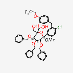 CO[C@@]1(c2ccc(Cl)c(Cc3ccc(OCC(F)(F)F)cc3)c2)OC(CO)(CO)[C@@H](OCc2ccccc2)[C@H](OCc2ccccc2)C1OCc1ccccc1